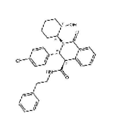 O=C(NCCc1ccccc1)[C@@H]1c2ccccc2C(=O)N([C@H]2CCCC[C@@H]2O)[C@H]1c1ccc(Cl)cc1